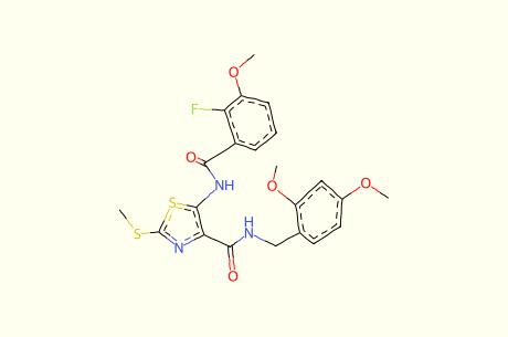 COc1ccc(CNC(=O)c2nc(SC)sc2NC(=O)c2cccc(OC)c2F)c(OC)c1